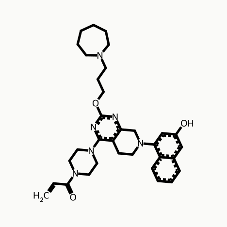 C=CC(=O)N1CCN(c2nc(OCCCN3CCCCCC3)nc3c2CCN(c2cc(O)cc4ccccc24)C3)CC1